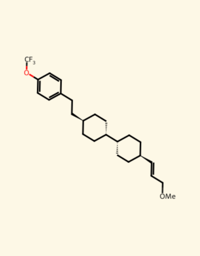 COCC=C[C@H]1CC[C@H]([C@H]2CC[C@H](CCc3ccc(OC(F)(F)F)cc3)CC2)CC1